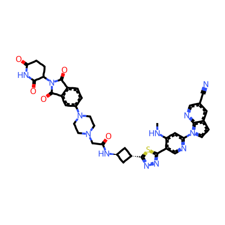 CNc1cc(-n2ccc3cc(C#N)cnc32)ncc1-c1nnc([C@H]2C[C@H](NC(=O)CN3CCN(c4ccc5c(c4)C(=O)N(C4CCC(=O)NC4=O)C5=O)CC3)C2)s1